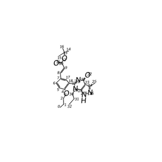 CCCOc1ccc(C=CC(=O)OC(C)(C)C)cc1C1[N]C(=O)c2c(C)n[nH]c2N1CCC